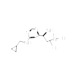 CNC(C)CC(=N)c1cc(NCC2CC2)ncn1